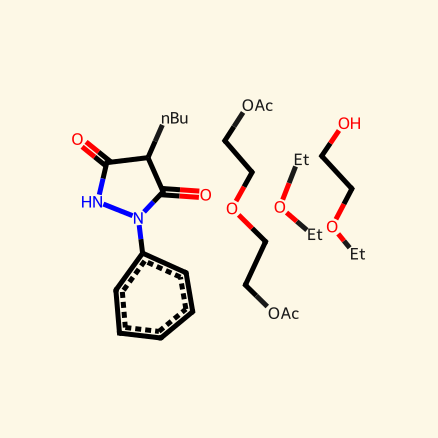 CC(=O)OCCOCCOC(C)=O.CCCCC1C(=O)NN(c2ccccc2)C1=O.CCOCC.CCOCCO